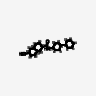 O=C(Nc1ccc(-c2ccccc2)cc1)c1ccc2cc(O)ccc2c1